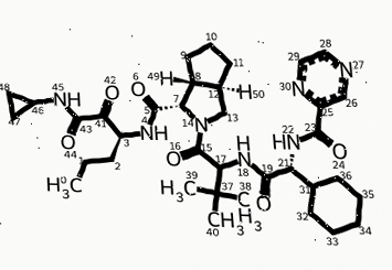 CCC[C@H](NC(=O)[C@@H]1[C@@H]2CCC[C@H]2CN1C(=O)C(NC(=O)[C@H](NC(=O)c1cnccn1)C1CCCCC1)C(C)(C)C)C(=O)C(=O)NC1CC1